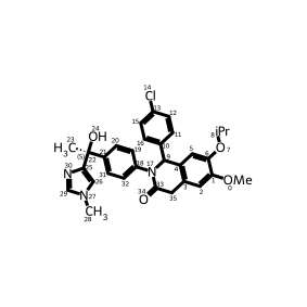 COc1cc2c(cc1OC(C)C)C(c1ccc(Cl)cc1)N(c1ccc([C@](C)(O)c3cn(C)cn3)cc1)C(=O)C2